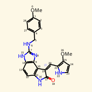 COc1ccc(CNc2nc3c4c(ccc3[nH]2)NC(=O)/C4=C\c2[nH]ccc2OC)cc1